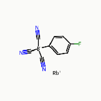 N#C[B-](C#N)(C#N)c1ccc(F)cc1.[Rb+]